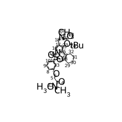 CN(C)C(=O)COc1cccc(S(=O)(=O)n2cc(CN(C)C(=O)OC(C)(C)C)cc2C2=CCCCC2)c1